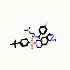 CN(C)CCNC(c1ccc(F)cc1)[C@@]12Cc3cn[nH]c3C=C1CCN(S(=O)(=O)c1ccc(C(C)(C)C)cc1)C2